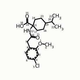 COc1cc(Cl)ccc1CC(=O)NC1(C(=O)O)CCC(C(C)C)CC1